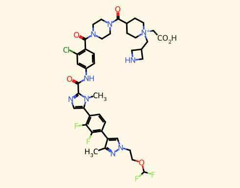 Cc1nn(CCOC(F)F)cc1-c1ccc(-c2cnc(C(=O)Nc3ccc(C(=O)N4CCN(C(=O)C5CC[N+](CC(=O)O)(CC6CNC6)CC5)CC4)c(Cl)c3)n2C)c(F)c1F